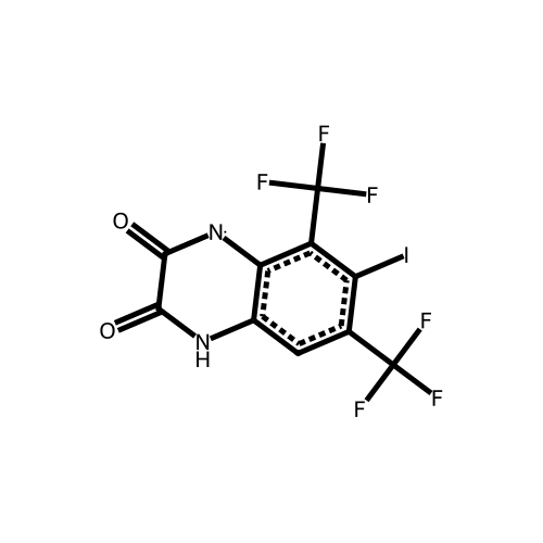 O=C1[N]c2c(cc(C(F)(F)F)c(I)c2C(F)(F)F)NC1=O